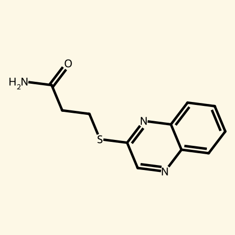 NC(=O)CCSc1cnc2ccccc2n1